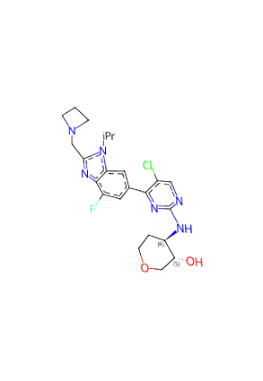 CC(C)n1c(CN2CCC2)nc2c(F)cc(-c3nc(N[C@@H]4CCOC[C@H]4O)ncc3Cl)cc21